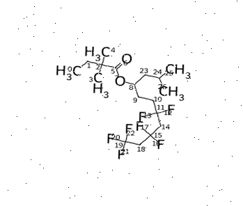 CCC(C)(C)C(=O)OC(CCC(F)(F)CC(F)(F)CC(F)(F)F)CC(C)C